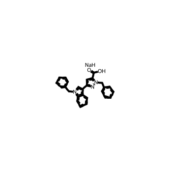 O=C(O)c1cc(-c2cn(Cc3ccccc3)c3ccccc23)nn1Cc1ccccc1.[NaH]